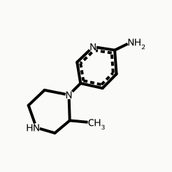 CC1CNCCN1c1ccc(N)nc1